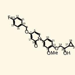 COc1cc(-n2ccc(OCc3ccc(F)cc3)cc2=O)ccc1OC[C@H](O)C1CC1